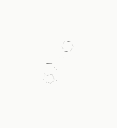 C=C(COc1ccc(F)cc1Cl)Nc1nc(C(F)(F)F)nn1C